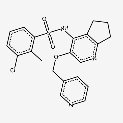 Cc1c(Cl)cccc1S(=O)(=O)Nc1c(OCc2cccnc2)cnc2c1CCC2